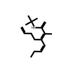 C=CCCC(/C=C\CC)=C(/C)C(=C)NC(C)(C)C